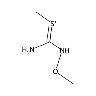 CON/C(N)=[S+]/C